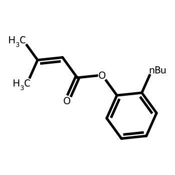 CCCCc1ccccc1OC(=O)C=C(C)C